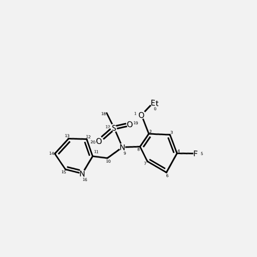 CCOc1cc(F)ccc1N(Cc1ccccn1)S(C)(=O)=O